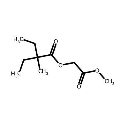 CCC(C)(CC)C(=O)OCC(=O)OC